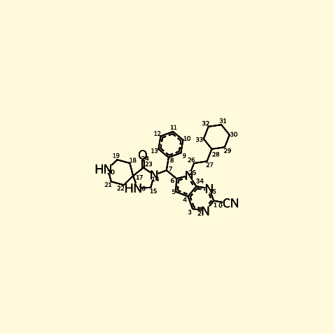 N#Cc1ncc2cc(C(c3ccccc3)N3CNC4(CCNCC4)C3=O)n(CCC3CCCCC3)c2n1